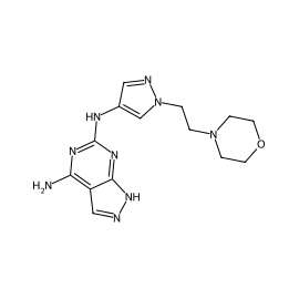 Nc1nc(Nc2cnn(CCN3CCOCC3)c2)nc2[nH]ncc12